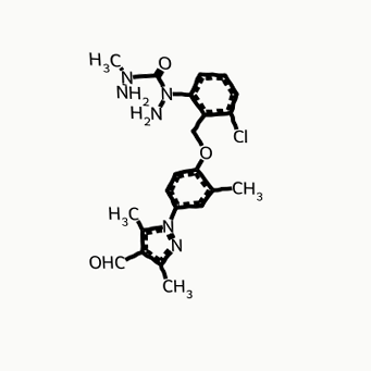 Cc1cc(-n2nc(C)c(C=O)c2C)ccc1OCc1c(Cl)cccc1N(N)C(=O)N(C)N